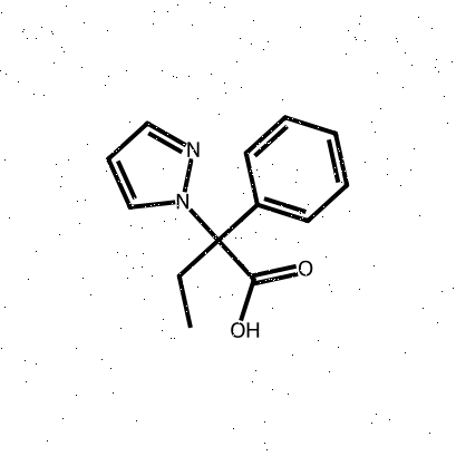 CCC(C(=O)O)(c1ccccc1)n1cccn1